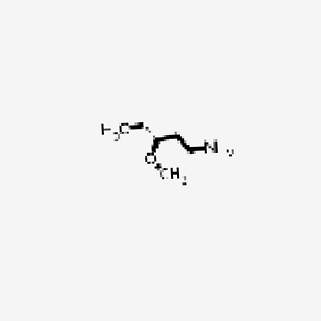 CC[C@H](CCN)OC